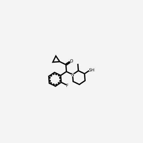 CC1C(S)CCCN1C(C(=O)C1CC1)c1ccccc1F